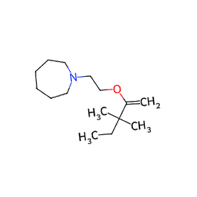 C=C(OCCN1CCCCCC1)C(C)(C)CC